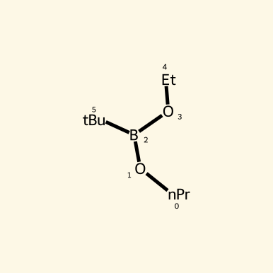 CCCOB(OCC)C(C)(C)C